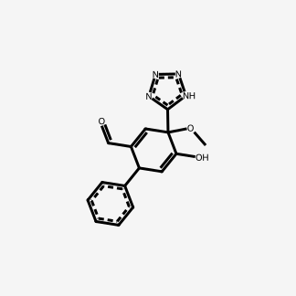 COC1(c2nnn[nH]2)C=C(C=O)C(c2ccccc2)C=C1O